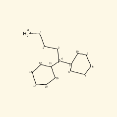 PCCCP(C1CCCCC1)C1CCCCC1